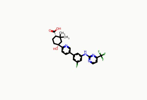 CC1(C)C[C@@](O)(c2ccc(-c3cc(F)cc(Nc4nccc(C(F)(F)F)n4)c3)cn2)CC[C@@H]1C(=O)O